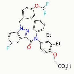 CCc1c(OCC(=O)O)ccc(N(C(=O)c2nn(Cc3ccc(OC(F)F)cc3)c3ccc(F)cc23)c2ccccc2)c1CC